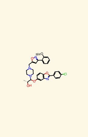 COc1ccccc1-c1cc(CN2CCN(C(Oc3ccc4oc(-c5ccc(Cl)cc5)nc4c3)[C@@H](C)O)CC2)on1